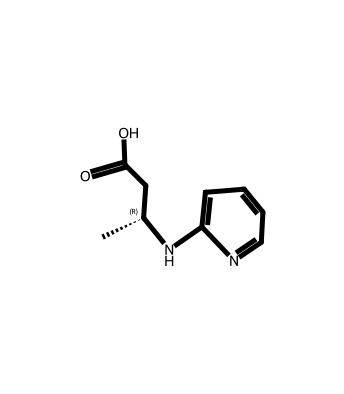 C[C@H](CC(=O)O)Nc1ccccn1